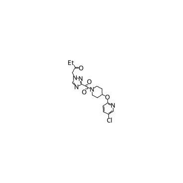 CCC(=O)Cn1cnc(S(=O)(=O)N2CCC(Oc3ccc(Cl)cn3)CC2)n1